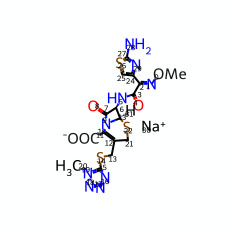 CO/N=C(/C(=O)N[C@@H]1C(=O)N2C(C(=O)[O-])=C(CSc3nnnn3C)CS[C@H]12)c1csc(N)n1.[Na+]